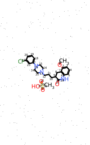 COc1cccc2c1CC(CCCN1CCN(c3cccc(Cl)c3)CC1)C(=O)N2.CS(=O)(=O)O